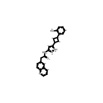 O=C(Cc1ccc2ncccc2c1)Nc1cc(C2CC(c3ccccc3O)C2)[nH]n1